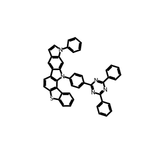 c1ccc(-c2nc(-c3ccccc3)nc(-c3ccc(-n4c5cc6c(ccn6-c6ccccc6)cc5c5ccc6sc7ccccc7c6c54)cc3)n2)cc1